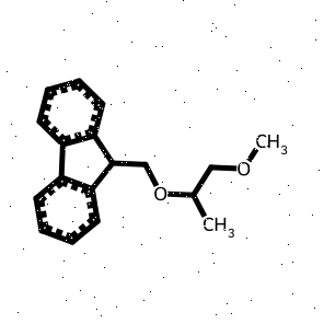 COCC(C)OCC1c2ccccc2-c2ccccc21